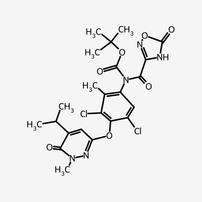 Cc1c(N(C(=O)OC(C)(C)C)C(=O)c2noc(=O)[nH]2)cc(Cl)c(Oc2cc(C(C)C)c(=O)n(C)n2)c1Cl